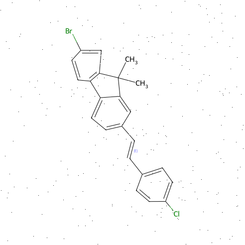 CC1(C)c2cc(Br)ccc2-c2ccc(/C=C/c3ccc(Cl)cc3)cc21